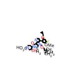 COc1cc(-c2ccnc3c(C(=O)N[C@@H]4CCN(C(=O)O)C[C@H]4O)c(C)n(COCC[Si](C)(C)C)c23)c(OCC2CC2)cc1F